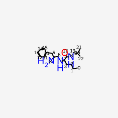 CCCCC(NC[C@@H](N)Cc1ccccc1)C(=O)NCC(C)C